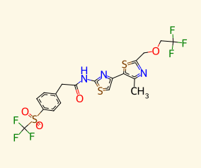 Cc1nc(COCC(F)(F)F)sc1-c1csc(NC(=O)Cc2ccc(S(=O)(=O)C(F)(F)F)cc2)n1